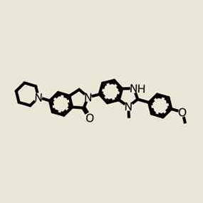 COc1ccc(C2Nc3ccc(N4Cc5cc(N6CCCCC6)ccc5C4=O)cc3N2C)cc1